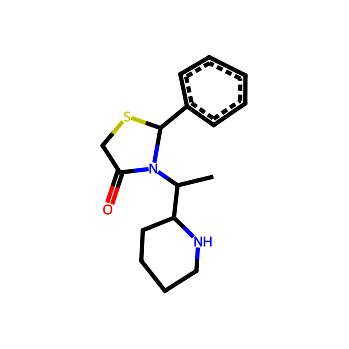 CC(C1CCCCN1)N1C(=O)CSC1c1ccccc1